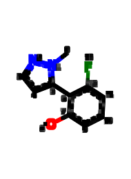 Cn1nccc1-c1c([O])cccc1F